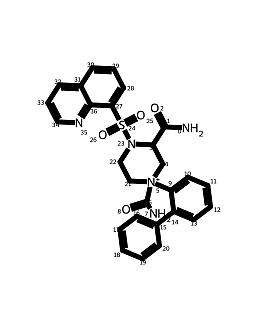 NC(=O)C1C[N+](C(N)=O)(c2ccccc2-c2ccccc2)CCN1S(=O)(=O)c1cccc2cccnc12